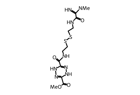 CNC(=N)C(=O)NCCSSCCNC(=O)C1=NNC(C(=O)OC)=NN1